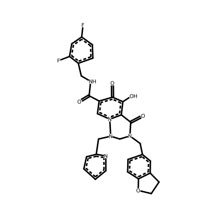 O=C(NCc1ccc(F)cc1F)c1cn2c(c(O)c1=O)C(=O)N(Cc1ccc3c(c1)CCO3)CN2Cc1ccccn1